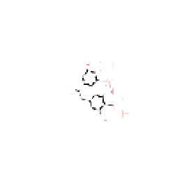 CC(Cc1cc(Br)c(C(=O)O)c(Br)c1)c1cc(Br)c(O)c(Br)c1